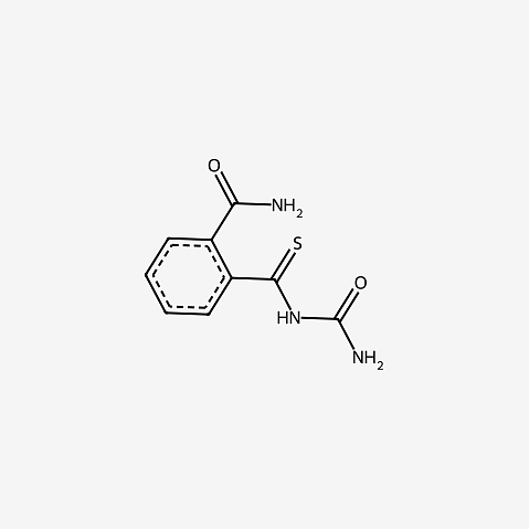 NC(=O)NC(=S)c1ccccc1C(N)=O